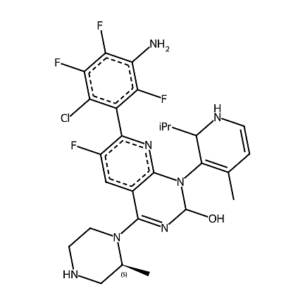 CC1=C(N2c3nc(-c4c(F)c(N)c(F)c(F)c4Cl)c(F)cc3C(N3CCNC[C@@H]3C)=NC2O)C(C(C)C)NC=C1